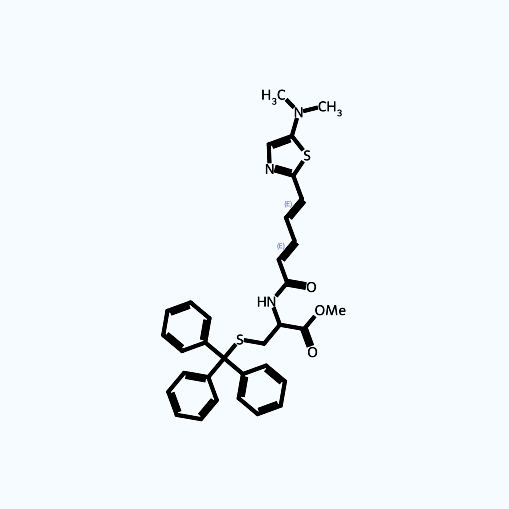 COC(=O)C(CSC(c1ccccc1)(c1ccccc1)c1ccccc1)NC(=O)/C=C/C=C/c1ncc(N(C)C)s1